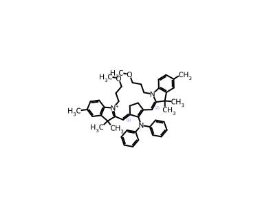 COCCCN1/C(=C\C2=C(N(c3ccccc3)c3ccccc3)C(=C/C3=[N+](CCCOC)c4ccc(C)cc4C3(C)C)/CC2)C(C)(C)c2cc(C)ccc21